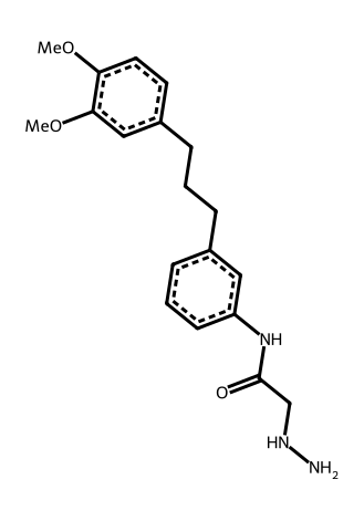 COc1ccc(CCCc2cccc(NC(=O)CNN)c2)cc1OC